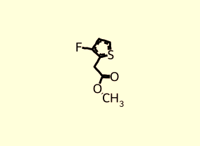 COC(=O)Cc1sccc1F